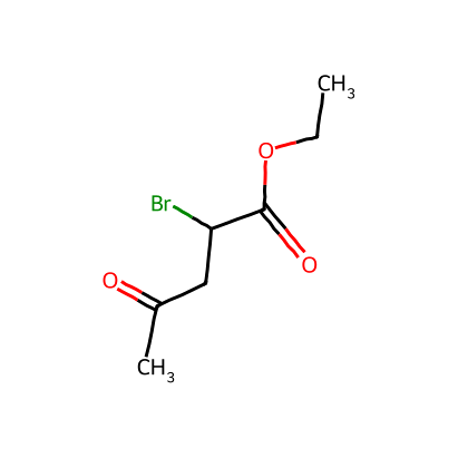 CCOC(=O)C(Br)CC(C)=O